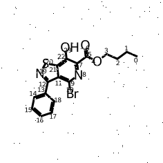 CCCCOC(=O)c1nc(Br)c2c(-c3ccccc3)nsc2c1O